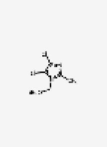 CC(C)COCn1c(C(F)(F)F)nc(Cl)c1Cl